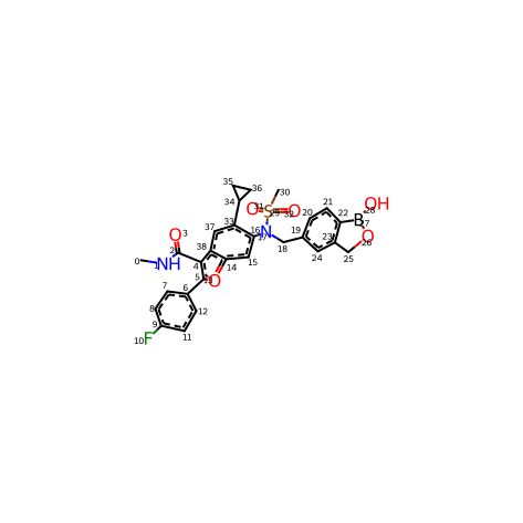 CNC(=O)c1c(-c2ccc(F)cc2)oc2cc(N(Cc3ccc4c(c3)COB4O)S(C)(=O)=O)c(C3CC3)cc12